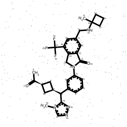 CC(=O)[C@H]1C[C@@H](C(c2cccc(N3Cc4c(cc(CNC5(C)CCC5)cc4C(F)(F)F)C3=O)c2)c2nncn2C)C1